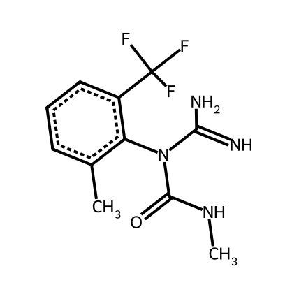 CNC(=O)N(C(=N)N)c1c(C)cccc1C(F)(F)F